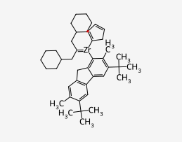 Cc1cc2c(cc1C(C)(C)C)-c1cc(C(C)(C)C)c(C)[c]([Zr]([C]3=CC=CC3)=[C](CC3CCCCC3)CC3CCCCC3)c1C2